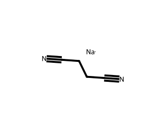 N#CCCC#N.[Na]